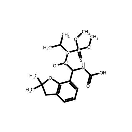 COP(=S)(OC)N(C(C)C)[S+]([O-])C(NC(=O)O)c1cccc2c1OC(C)(C)C2